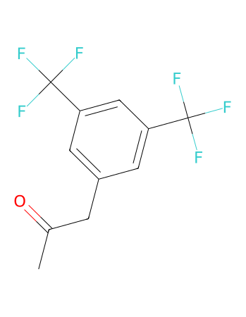 CC(=O)Cc1cc(C(F)(F)F)cc(C(F)(F)F)c1